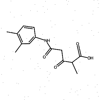 Cc1ccc(NC(=O)CC(=O)C(C)C(=O)O)cc1C